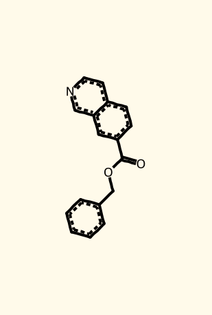 O=C(OCc1ccccc1)c1ccc2ccncc2c1